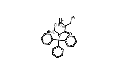 CCCC[C@@H](C=O)N(C(=O)[C@@H](N)CC(C)C)C(c1ccccc1)(c1ccccc1)c1ccccc1